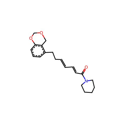 O=C(C=CC=CCCc1cccc2c1COCO2)N1CCCCC1